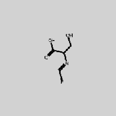 O=C(O)C(CO)/N=C/F